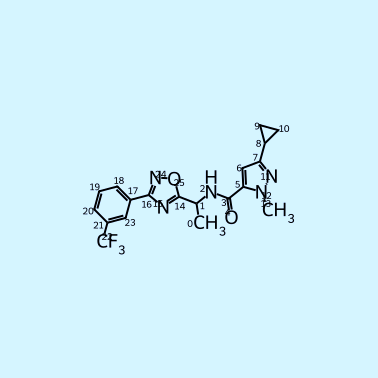 CC(NC(=O)c1cc(C2CC2)nn1C)c1nc(-c2cccc(C(F)(F)F)c2)no1